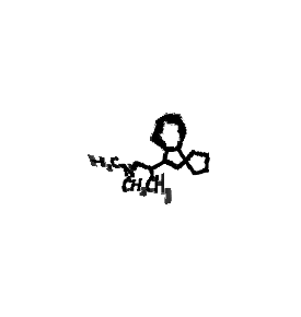 CC(CN(C)C)C1=CC2(CCCC2)c2ccccc21